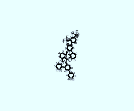 O=C1c2cccc(-n3c4ccccc4c4cc(-c5ccc(C(F)(F)F)cc5C(F)(F)F)ccc43)c2C(=O)N1c1ccc(-c2ccccc2)cc1-c1ccccc1